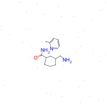 Cc1ccccn1.NCC1CCCC(C(N)=O)C1